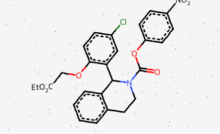 CCOC(=O)COc1ccc(Cl)cc1C1c2ccccc2CCN1C(=O)Oc1ccc([N+](=O)[O-])cc1